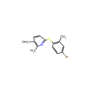 Cc1cc(Br)ccc1Sc1ccc(C=O)c(C)n1